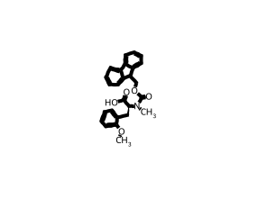 COc1ccccc1C[C@@H](C(=O)O)N(C)C(=O)OCC1c2ccccc2-c2ccccc21